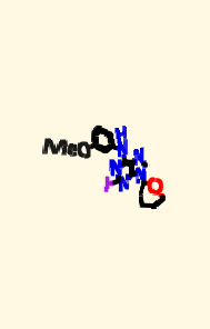 COc1cccc(Nc2nc(I)nc3c2ncn3C2CCCCO2)c1